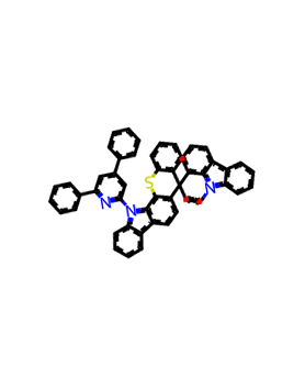 c1ccc(-c2cc(-c3ccccc3)nc(-n3c4ccccc4c4ccc5c(c43)Sc3ccccc3C53c4ccccc4-n4c5ccccc5c5cccc3c54)c2)cc1